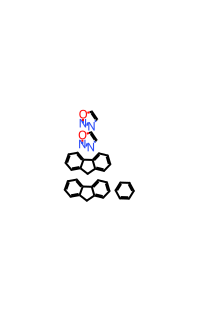 c1ccc2c(c1)Cc1ccccc1-2.c1ccc2c(c1)Cc1ccccc1-2.c1ccccc1.c1conn1.c1conn1